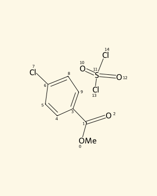 COC(=O)c1ccc(Cl)cc1.O=S(=O)(Cl)Cl